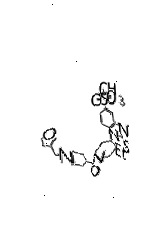 CCSc1nc2cc(S(C)(=O)=O)ccc2n1C1CCN(C(=O)C2CCN(Cc3ccoc3)CC2)CC1